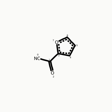 N#CC(=O)c1ccco1